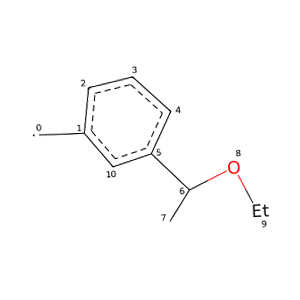 [CH2]c1cccc(C(C)OCC)c1